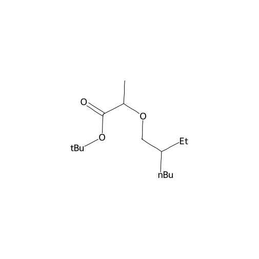 CCCCC(CC)COC(C)C(=O)OC(C)(C)C